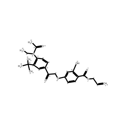 C=CCOC(=O)c1ccc(OCC(=O)c2ccc(N(CC)C(C)=O)c(C(C)(C)C)c2)cc1O